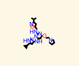 CC(C)C1=NOC(CNc2nc(Nc3cc(C4CC4)[nH]n3)cc(OCCN3CCCC3)n2)C1